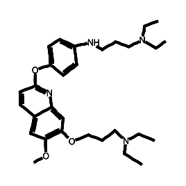 CCN(CC)CCCNc1ccc(Oc2ccc3cc(OC)c(OCCCN(CC)CC)cc3n2)cc1